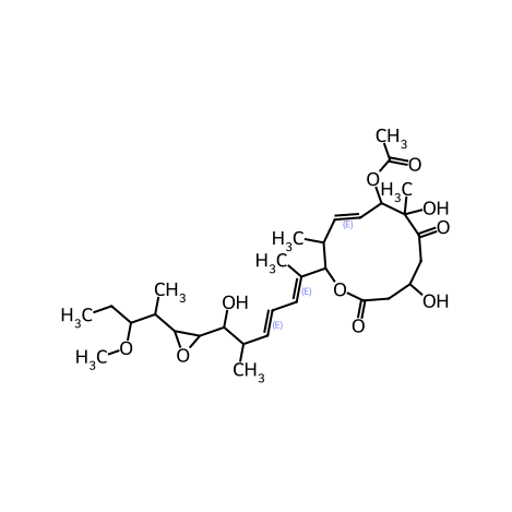 CCC(OC)C(C)C1OC1C(O)C(C)/C=C/C=C(\C)C1OC(=O)CC(O)CC(=O)C(C)(O)C(OC(C)=O)/C=C/C1C